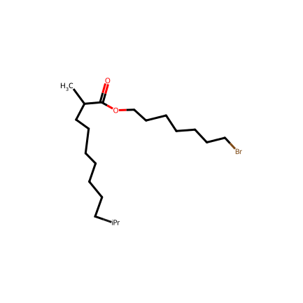 CC(C)CCCCCCCC(C)C(=O)OCCCCCCCBr